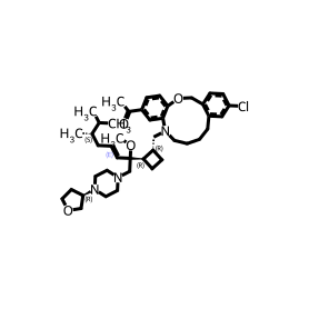 COC(/C=C/C[C@H](C)C(C)C)(CN1CCN([C@@H]2CCOC2)CC1)[C@@H]1CC[C@H]1CN1CCCCc2cc(Cl)ccc2COc2ccc(C(C)=O)cc21